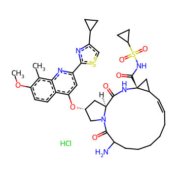 COc1ccc2c(O[C@@H]3C[C@H]4C(=O)N[C@]5(C(=O)NS(=O)(=O)C6CC6)CC5/C=C\CCCCCC(N)C(=O)N4C3)cc(-c3nc(C4CC4)cs3)nc2c1C.Cl